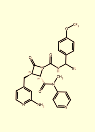 CCC(NC(=O)N1C(=O)[C@H](Cc2ccnc(N)c2)[C@H]1C(=O)N(C)c1ccncc1)c1ccc(OC(F)(F)F)cc1